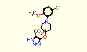 O=C(O)c1[nH]nnc1OC1CCN(c2cc(Cl)ccc2OC(F)(F)F)CC1